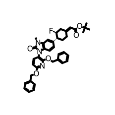 Cn1c(=O)n(-c2ccc(OCc3ccccc3)nc2OCc2ccccc2)c2ccc([C@H]3CC/C(=C\C(=O)OC(C)(C)C)C[C@@H]3F)cc21